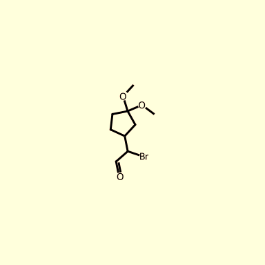 COC1(OC)CCC(C(Br)C=O)C1